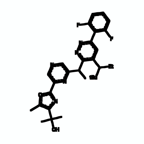 CCC(c1cc(-c2c(F)cccc2F)nnc1C(C)c1cncc(-c2nc(C(C)(C)O)c(C)o2)n1)C(C)(C)C